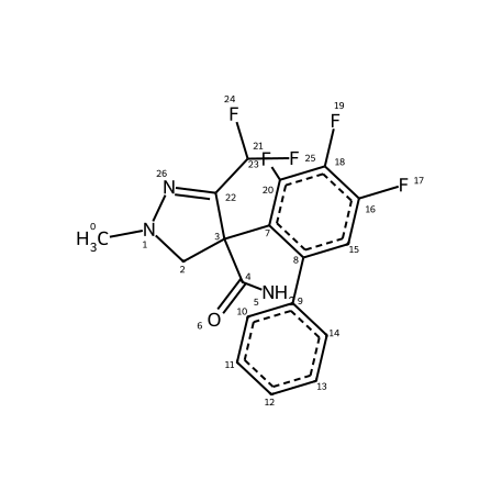 CN1CC(C(N)=O)(c2c(-c3ccccc3)cc(F)c(F)c2F)C(C(F)F)=N1